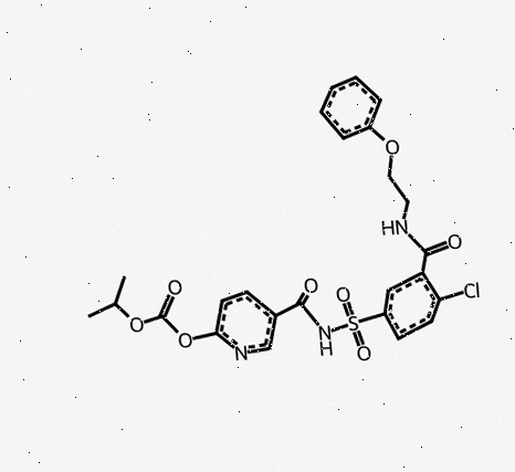 CC(C)OC(=O)Oc1ccc(C(=O)NS(=O)(=O)c2ccc(Cl)c(C(=O)NCCOc3ccccc3)c2)cn1